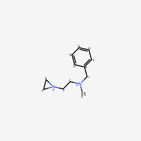 CCN(CCN1CC1)Cc1ccccc1